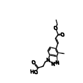 CCOC(=O)/C=C/c1ccc2c(nnn2CCC(=O)O)c1C